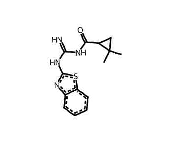 CC1(C)CC1C(=O)NC(=N)Nc1nc2ccccc2s1